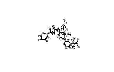 CSCC[C@H](NC(=O)c1cccc(S(=O)(=O)C(C)C)c1)C(=O)Nc1nc(-c2ccccc2)cs1